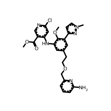 COC(=O)c1cnc(Cl)cc1Nc1cc(CCOCc2cccc(N)n2)cc(-c2ccn(C)n2)c1OC